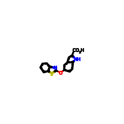 O=C(O)c1cc2cc(Oc3nc4ccccc4s3)ccc2[nH]1